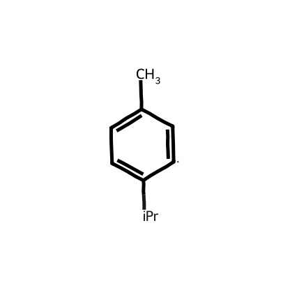 Cc1c[c]c(C(C)C)cc1